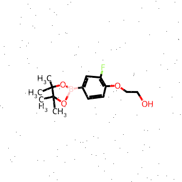 CC1(C)OB(c2ccc(OCCO)c(F)c2)OC1(C)C